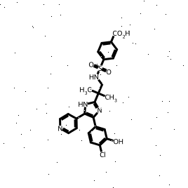 CC(C)(CNS(=O)(=O)c1ccc(C(=O)O)cc1)c1nc(-c2ccc(Cl)c(O)c2)c(-c2ccncc2)[nH]1